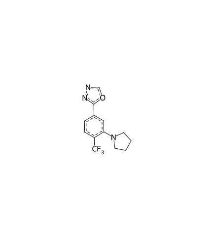 FC(F)(F)c1ccc(-c2nnco2)cc1N1CCCC1